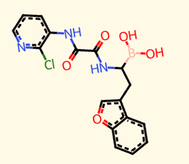 O=C(Nc1cccnc1Cl)C(=O)NC(Cc1coc2ccccc12)B(O)O